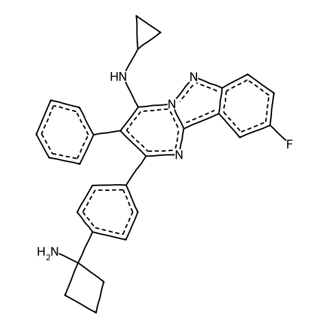 NC1(c2ccc(-c3nc4c5cc(F)ccc5nn4c(NC4CC4)c3-c3ccccc3)cc2)CCC1